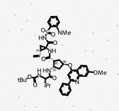 C=C[C@@H]1C[C@]1(NC(=O)[C@@H]1C[C@@H](Oc2cc(-c3ccccc3)nc3cc(OC)ccc23)C[C@@H]1NC(=O)C(NC(=O)OC(C)(C)C)C(C)C)C(=O)NS(=O)(=O)c1ccccc1NC